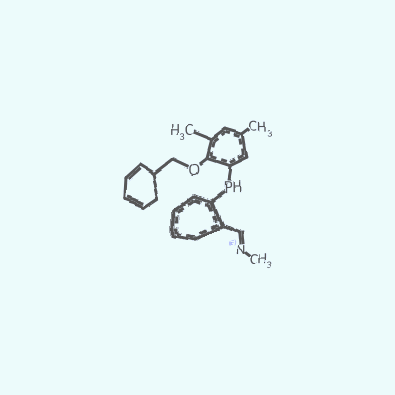 C/N=C/c1ccccc1Pc1cc(C)cc(C)c1OCC1C=CC=CC1